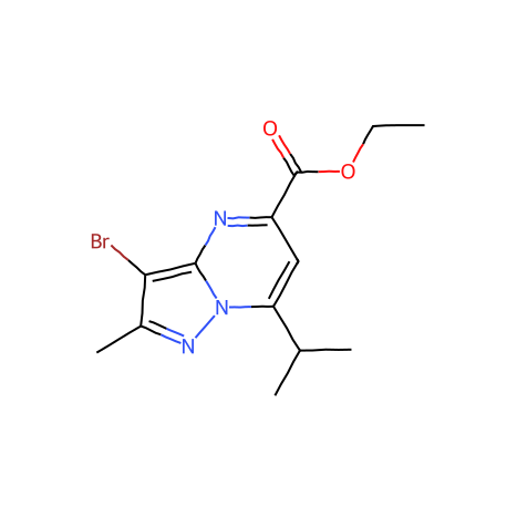 CCOC(=O)c1cc(C(C)C)n2nc(C)c(Br)c2n1